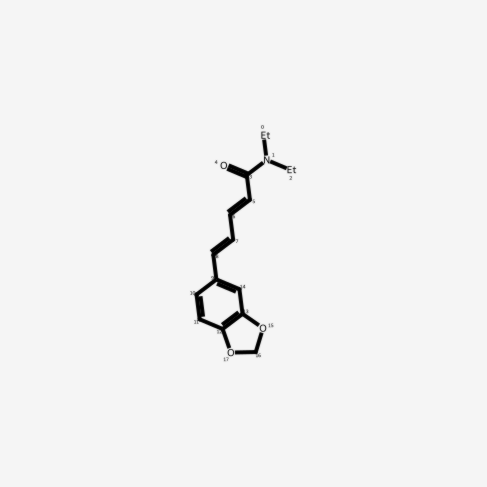 CCN(CC)C(=O)/C=C/C=Cc1ccc2c(c1)OCO2